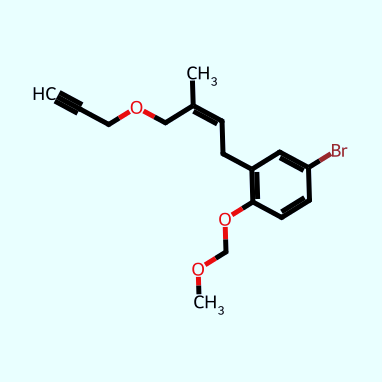 C#CCOCC(C)=CCc1cc(Br)ccc1OCOC